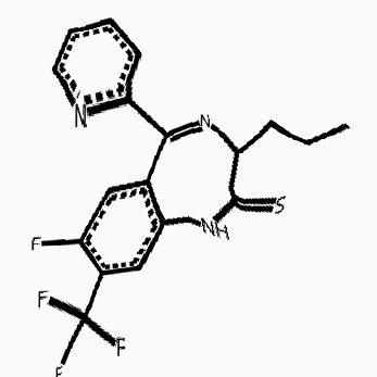 CCCC1N=C(c2ccccn2)c2cc(F)c(C(F)(F)F)cc2NC1=S